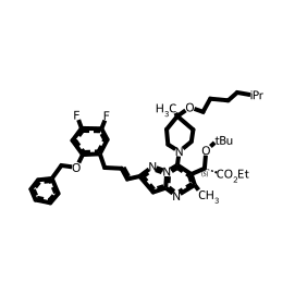 CCOC(=O)[C@@H](OC(C)(C)C)c1c(C)nc2cc(C=CCc3cc(F)c(F)cc3OCc3ccccc3)nn2c1N1CCC(C)(OCCCCC(C)C)CC1